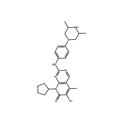 CC(=O)c1c(C)c2cnc(Nc3ccc(N4CC(C)NC(C)C4)cc3)nc2n(C2CCCC2)c1=O